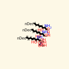 CCCCCCCCCCCCCC=CC(O)C(N)CO.CCCCCCCCCCCCCC=CC(O)C(N)CO.CCCCCCCCCCCCCC=CC(O)C(N)[C@@H](O)OP(=O)(O)O